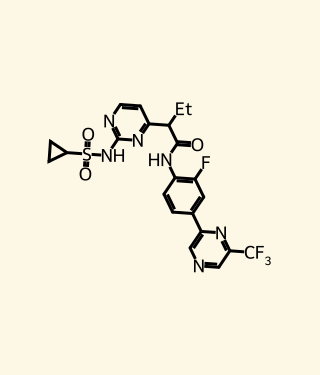 CCC(C(=O)Nc1ccc(-c2cncc(C(F)(F)F)n2)cc1F)c1ccnc(NS(=O)(=O)C2CC2)n1